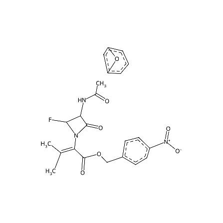 CC(=O)NC1C(=O)N(C(C(=O)OCc2ccc([N+](=O)[O-])cc2)=C(C)C)C1F.c1cc2cc(c1)O2